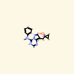 CN(c1ccccc1)c1ncnc2c(CC3(O)CC3)cnn12